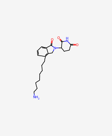 NCCCCCCCCc1cccc2c1CN(C1CCC(=O)NC1=O)C2=O